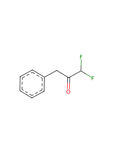 O=C(Cc1ccccc1)C(F)F